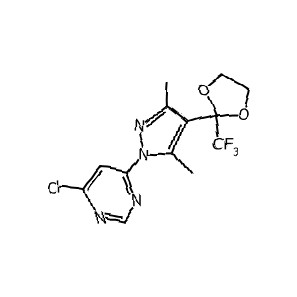 Cc1nn(-c2cc(Cl)ncn2)c(C)c1C1(C(F)(F)F)OCCO1